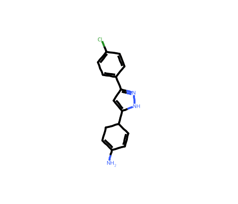 NC1=CCC(c2cc(-c3ccc(Cl)cc3)n[nH]2)C=C1